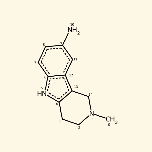 CN1CCc2[nH]c3ccc(N)cc3c2C1